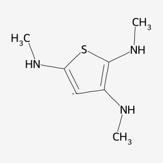 CNc1[c]c(NC)c(NC)s1